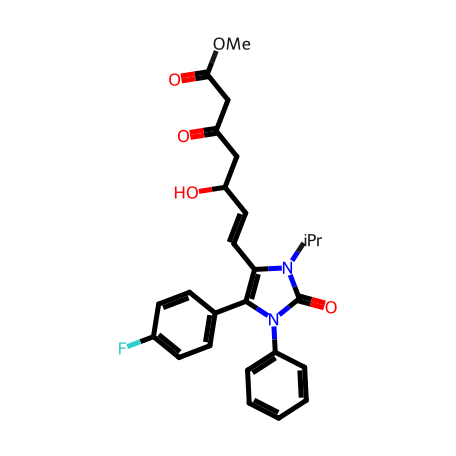 COC(=O)CC(=O)CC(O)/C=C/c1c(-c2ccc(F)cc2)n(-c2ccccc2)c(=O)n1C(C)C